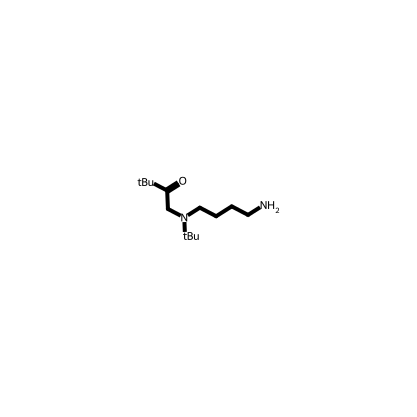 CC(C)(C)C(=O)CN(CCCCN)C(C)(C)C